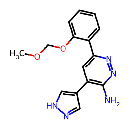 COCOc1ccccc1-c1cc(-c2cn[nH]c2)c(N)nn1